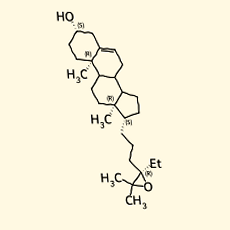 CC[C@]1(CCC[C@H]2CCC3C4CC=C5C[C@@H](O)CC[C@]5(C)C4CC[C@@]32C)OC1(C)C